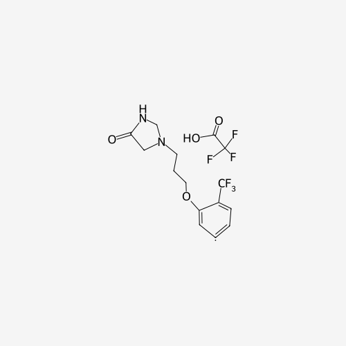 O=C(O)C(F)(F)F.O=C1CN(CCCOc2c[c]ccc2C(F)(F)F)CN1